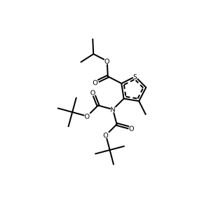 Cc1csc(C(=O)OC(C)C)c1N(C(=O)OC(C)(C)C)C(=O)OC(C)(C)C